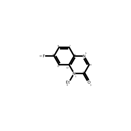 CCn1c(=O)cnc2ccc(F)cc21